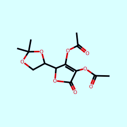 CC(=O)OC1=C(OC(C)=O)C(C2COC(C)(C)O2)OC1=O